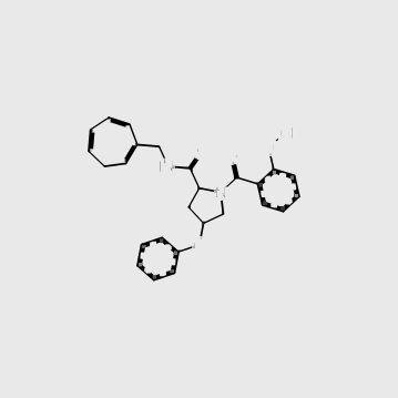 COc1ccccc1C(=O)N1CC(Oc2ccccc2)CC1C(=O)NCC1=CCC=CC=C1